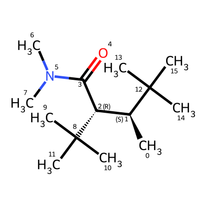 C[C@@H]([C@@H](C(=O)N(C)C)C(C)(C)C)C(C)(C)C